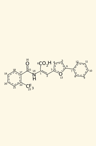 O=C(O)/C(=C\c1ccc(-c2ccccc2)o1)NC(=O)c1ccccc1C(F)(F)F